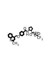 Cc1cc(COc2ccc(C(=O)N[C@H]3CCC[C@H]3C(=O)NOC(=O)C(F)(F)F)cc2)c2ccccc2n1